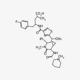 CC(=O)OC(CC(C(C)C)N(C)C(=O)C(NC(=O)[C@H]1CCCCN1C)C1CC1)c1nc(C(=O)NC(Cc2ccc(F)cc2)CC(C)C(=O)O)cs1